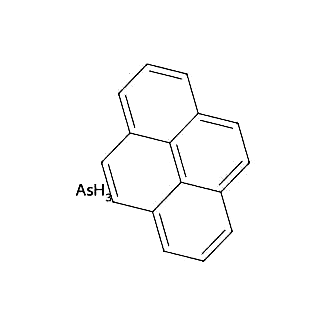 [AsH3].c1cc2ccc3cccc4ccc(c1)c2c34